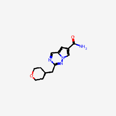 NC(=O)c1cc2cnc(CC3CCOCC3)nn2c1